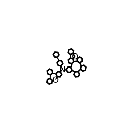 c1ccc(-c2ccc(N(c3ccc4c(c3)-c3ccccc3-c3ccccc3O4)c3ccc4c5ccccc5c5ccccc5c5ccccc5c5c(ccc6c7ccccc7oc65)c4c3)cc2)cc1